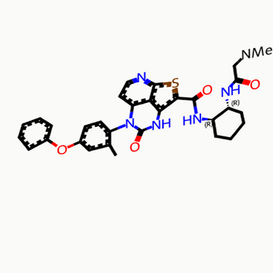 CNCC(=O)N[C@@H]1CCCC[C@H]1NC(=O)c1sc2nccc3c2c1NC(=O)N3c1ccc(Oc2ccccc2)cc1C